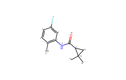 CCc1ccc(F)cc1NC(=O)C1CC1(C)C